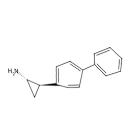 N[C@H]1C[C@@H]1c1ccc(-c2ccccc2)cc1